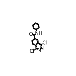 O=C(Nc1ccccc1)c1ccc2c(Cl)nnc(Cl)c2c1